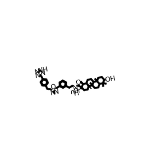 CCCC1(C(=O)NCCc2cccc(-c3nnc(Cc4ccc(-c5nn[nH]n5)cc4)o3)c2)CC[C@]2(C)C(CCC3C4(C)CCC(O)C(C)(C)C4CCC32C)C1C